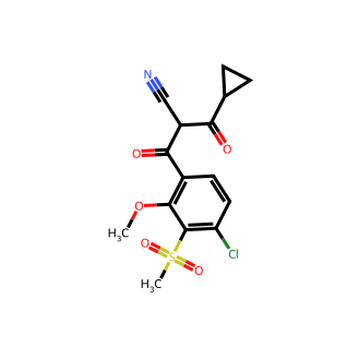 COc1c(C(=O)C(C#N)C(=O)C2CC2)ccc(Cl)c1S(C)(=O)=O